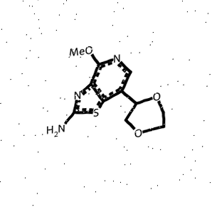 COc1ncc(C2COCCO2)c2sc(N)nc12